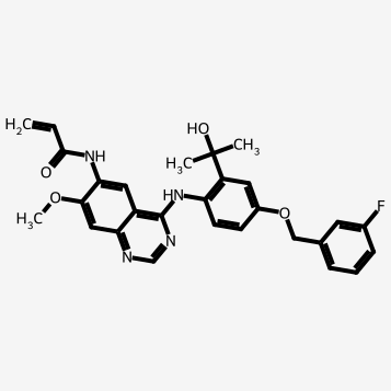 C=CC(=O)Nc1cc2c(Nc3ccc(OCc4cccc(F)c4)cc3C(C)(C)O)ncnc2cc1OC